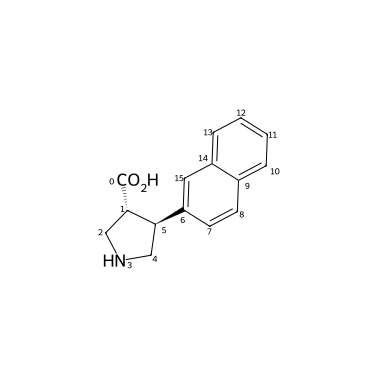 O=C(O)[C@H]1CNC[C@@H]1c1ccc2ccccc2c1